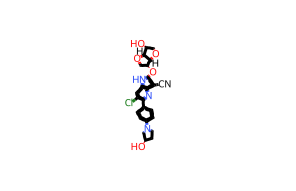 N#Cc1c(O[C@@H]2CO[C@H]3[C@@H]2OC[C@H]3O)[nH]c2cc(Cl)c(-c3ccc(N4CC[C@H](O)C4)cc3)nc12